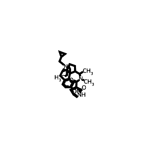 CCC12CCC(C(C)N(C)C(=O)c3ccc[nH]c3=O)C13CCN(CC1CC1)C2Cc1ccc(O)cc13